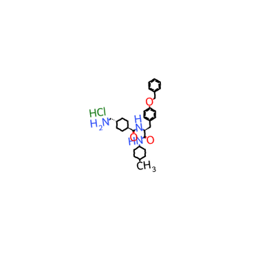 CC1CCC(NC(=O)[C@H](Cc2ccc(OCc3ccccc3)cc2)NC(=O)[C@H]2CC[C@H](CN)CC2)CC1.Cl